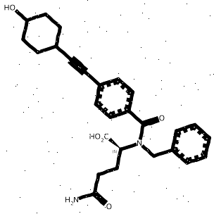 NC(=O)CC[C@@H](C(=O)O)N(Cc1ccccc1)C(=O)c1ccc(C#CC2CCC(O)CC2)cc1